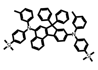 Cc1cccc(N(c2ccc([Si](C)(C)C)cc2)c2ccc3c(c2)C(c2ccccc2)(c2ccccc2)c2cc(N(c4ccc([Si](C)(C)C)cc4)c4cccc(C)c4)c4ccccc4c2-3)c1